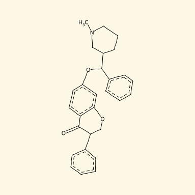 CN1CCCC(C(Oc2ccc3c(c2)OCC(c2ccccc2)C3=O)c2ccccc2)C1